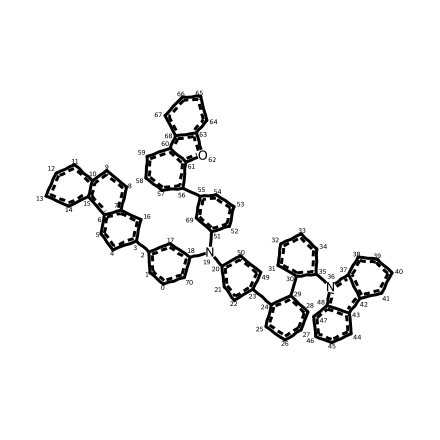 c1cc(-c2ccc3c(ccc4ccccc43)c2)cc(N(c2ccc(-c3ccccc3-c3ccccc3-n3c4ccccc4c4ccccc43)cc2)c2cccc(-c3cccc4c3oc3ccccc34)c2)c1